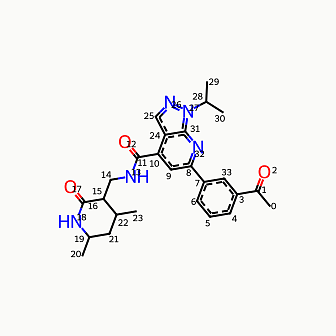 CC(=O)c1cccc(-c2cc(C(=O)NCC3C(=O)NC(C)CC3C)c3cnn(C(C)C)c3n2)c1